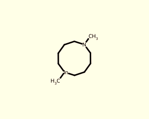 CN1CCC[CH2][In]([CH3])[CH2]CCC1